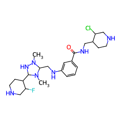 CN1NC(C2CCNCC2F)N(C)C1CNc1cccc(C(=O)NCC2CCNCC2Cl)c1